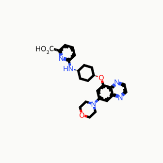 O=C(O)c1cccc(N[C@H]2CC[C@@H](Oc3cc(N4CCOCC4)cc4nccnc34)CC2)n1